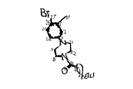 Cc1cc(N2CCN(C(=O)OC(C)(C)C)CC2)ccc1Br